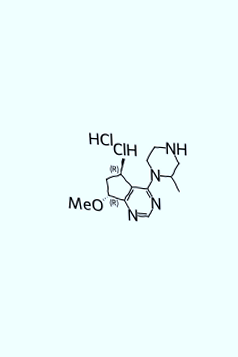 CO[C@@H]1C[C@@H](C)c2c1ncnc2N1CCNCC1C.Cl.Cl